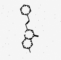 O=c1cc(/C=C/c2ccccc2)oc2ccc(O)cc12